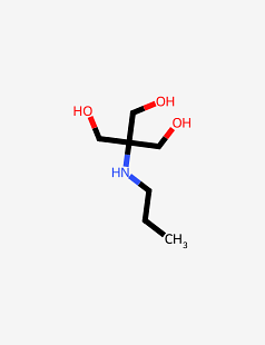 CCCNC(CO)(CO)CO